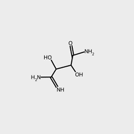 N=C(N)C(O)C(O)C(N)=O